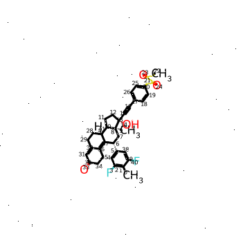 Cc1c(F)cc([C@H]2C[C@@]3(C)C(CC[C@@]3(O)C#Cc3ccc(S(C)(=O)=O)cc3)[C@@H]3CCC4=CC(=O)CCC4=C32)cc1F